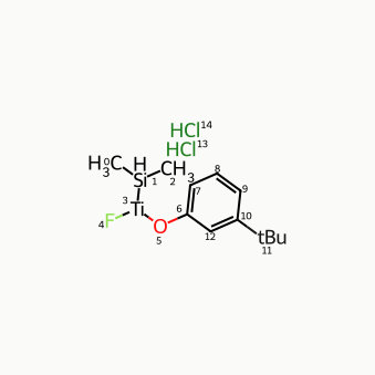 C[SiH](C)[Ti]([F])[O]c1cccc(C(C)(C)C)c1.Cl.Cl